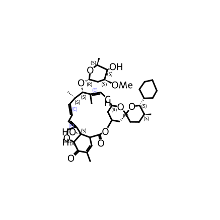 CO[C@H]1C[C@H](O[C@@H]2/C(C)=C/C[C@@H]3CC(C[C@]4(CC[C@H](C)[C@@H](C5CCCCC5)O4)O3)OC(=O)C3C=C(C)C(=O)[C@H]4OC/C(=C\C=C\[C@@H]2C)[C@@]34O)O[C@@H](C)[C@@H]1O